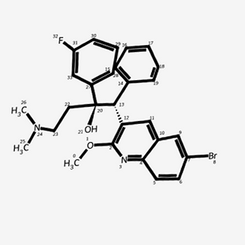 COc1nc2ccc(Br)cc2cc1[C@@H](c1ccccc1)[C@](O)(CCN(C)C)c1cccc(F)c1